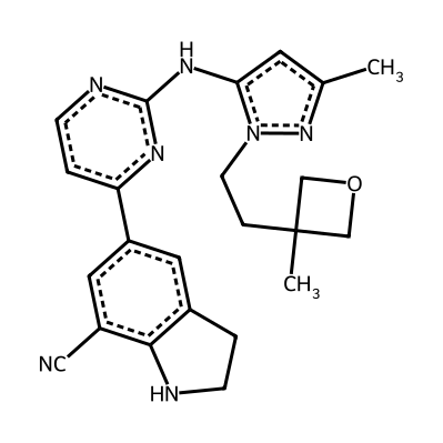 Cc1cc(Nc2nccc(-c3cc(C#N)c4c(c3)CCN4)n2)n(CCC2(C)COC2)n1